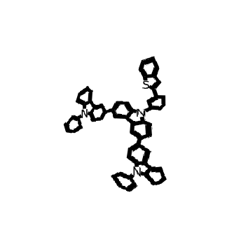 c1ccc(-n2c3ccccc3c3cc(-c4ccc5c(c4)c4cc(-c6ccc7c(c6)c6ccccc6n7-c6ccccc6)ccc4n5-c4cccc(-c5cc6ccccc6s5)c4)ccc32)cc1